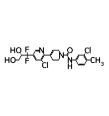 Cc1ccc(NC(=O)N2CC=C(c3ncc(C(F)(F)[C@@H](O)CO)cc3Cl)CC2)cc1Cl